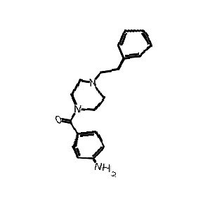 Nc1ccc(C(=O)N2CCN(CCc3ccccc3)CC2)cc1